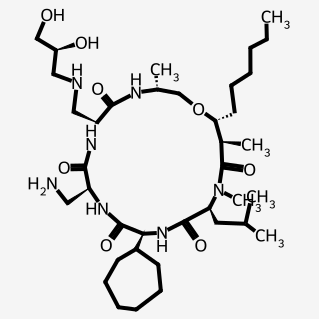 CCCCCC[C@H]1OC[C@@H](C)NC(=O)[C@H](CNC[C@H](O)CO)NC(=O)[C@H](CN)NC(=O)[C@H](C2CCCCCC2)NC(=O)[C@H](CC(C)C)N(C)C(=O)[C@@H]1C